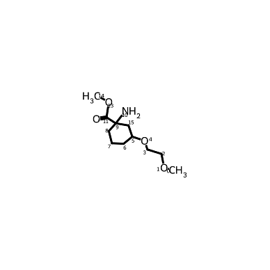 COCCOC1CCCC(N)(C(=O)OC)C1